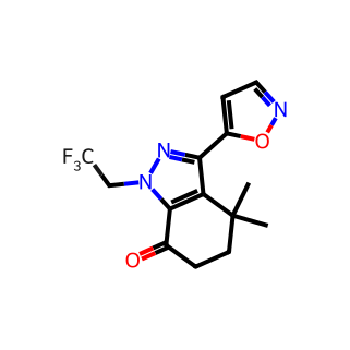 CC1(C)CCC(=O)c2c1c(-c1ccno1)nn2CC(F)(F)F